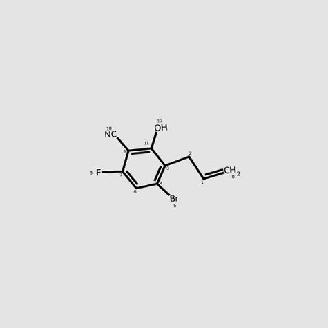 C=CCc1c(Br)cc(F)c(C#N)c1O